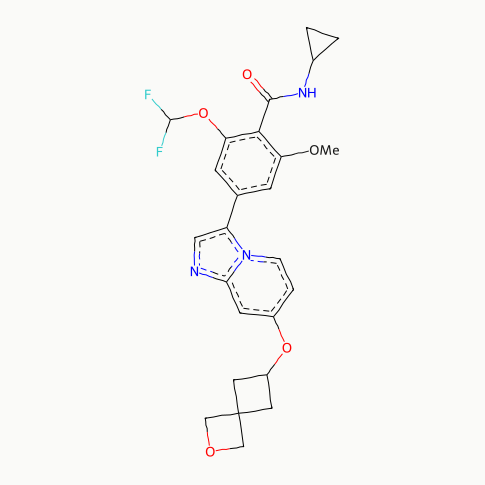 COc1cc(-c2cnc3cc(OC4CC5(COC5)C4)ccn23)cc(OC(F)F)c1C(=O)NC1CC1